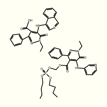 CCCCOP(=O)(OCCCC)OCOC(=O)c1c(-c2ccccc2)nn(CC)c(=O)c1Nc1cccnc1.CCn1nc(-c2ccccc2)c(C(=O)O)c(Nc2cncc3ccccc23)c1=O